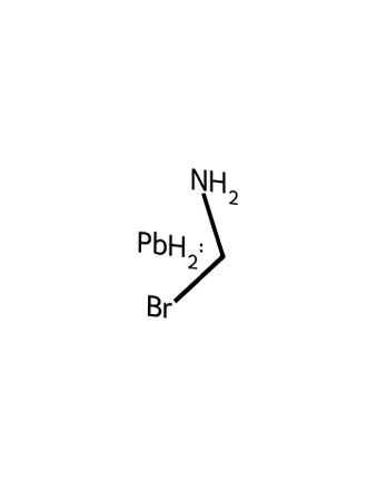 NCBr.[PbH2]